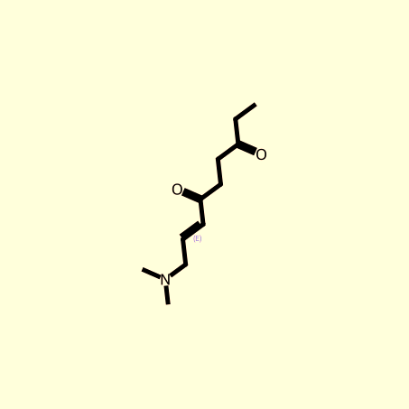 CCC(=O)CCC(=O)/C=C/CN(C)C